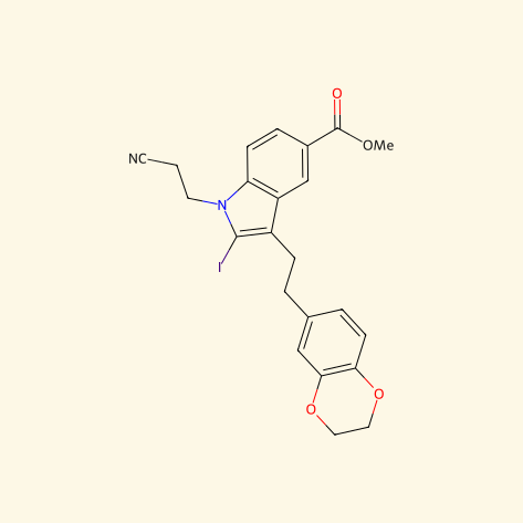 COC(=O)c1ccc2c(c1)c(CCc1ccc3c(c1)OCCO3)c(I)n2CCC#N